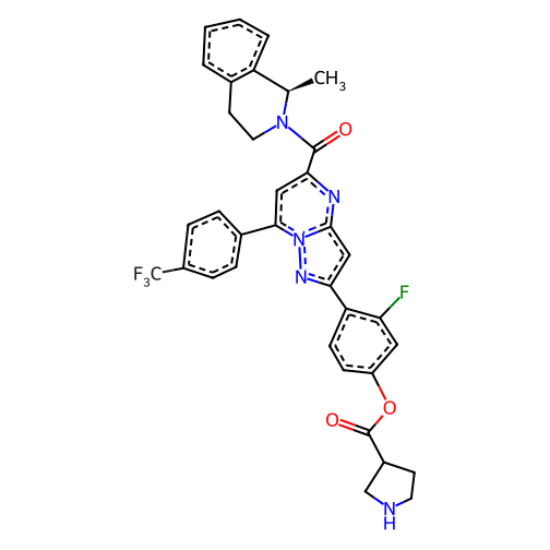 C[C@@H]1c2ccccc2CCN1C(=O)c1cc(-c2ccc(C(F)(F)F)cc2)n2nc(-c3ccc(OC(=O)C4CCNC4)cc3F)cc2n1